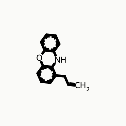 C=CCc1cccc2c1Nc1ccccc1O2